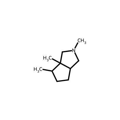 CC1CCC2CN(C)CC12C